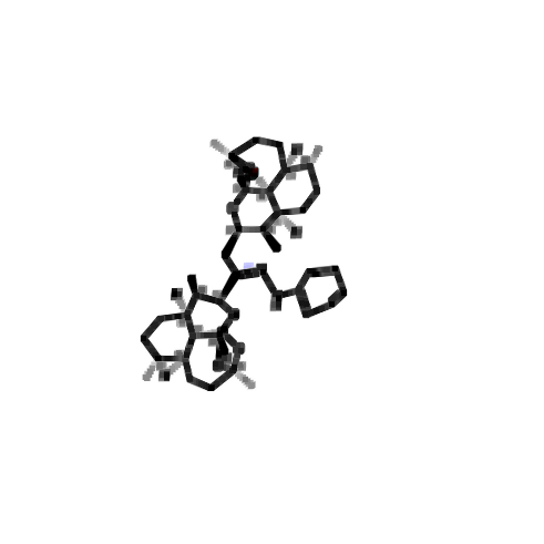 C[C@H]1[C@@H](/C(C[C@H]2O[C@@H]3O[C@]4(C)CC[C@H]5[C@H](C)CC[C@@H]([C@H]2C)[C@@]35OO4)=N\Nc2ccccc2)O[C@@H]2O[C@]3(C)CC[C@H]4[C@H](C)CC[C@@H]1[C@@]24OO3